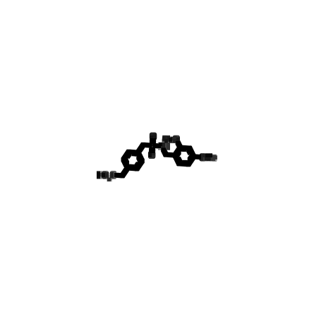 COc1ccc(CNS(=O)(=O)Cc2ccc(CC(=O)O)cc2)c(OC)c1